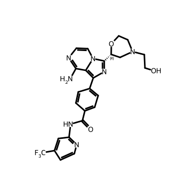 Nc1nccn2c([C@H]3CN(CCO)CCO3)nc(-c3ccc(C(=O)Nc4cc(C(F)(F)F)ccn4)cc3)c12